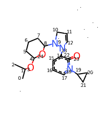 CC(C)OC1CCCC(N2CC=CN2c2cccn(C3CC3)c2=O)O1